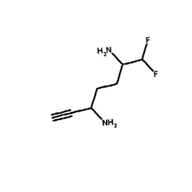 C#CC(N)CCC(N)C(F)F